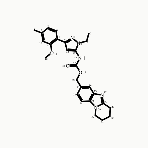 CCn1nc(-c2ccc(C)cc2OC)cc1NC(=O)OCc1ccc2c(c1)nc1n2CCCC1